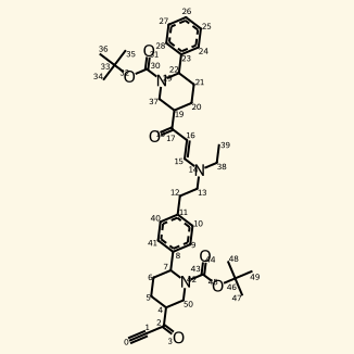 C#CC(=O)C1CCC(c2ccc(CCN(/C=C/C(=O)C3CCC(c4ccccc4)N(C(=O)OC(C)(C)C)C3)CC)cc2)N(C(=O)OC(C)(C)C)C1